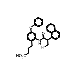 CC(C)CC(C(=O)Nc1cc(Oc2ccccc2)ccc1CCCC(=O)O)c1cccc2ccccc12